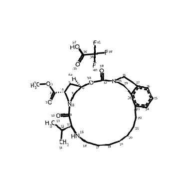 COC(=O)[C@@H]1C[C@@H]2CN1C(=O)[C@H](C(C)C)NCCCCCCCc1cccc3c1CN(C3)C(=O)O2.O=C(O)C(F)(F)F